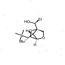 CC[C@H](O)[C@@]12CO[C@@H]([C@H](C)O1)[C@@H]2C[Si](C)(C)C(C)(C)C